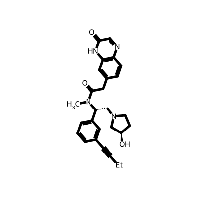 CCC#Cc1cccc([C@@H](CN2CC[C@@H](O)C2)N(C)C(=O)Cc2ccc3ncc(=O)[nH]c3c2)c1